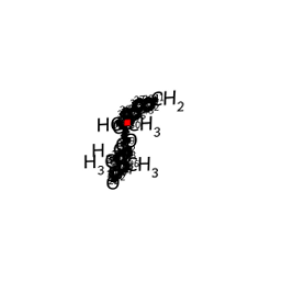 C#C[C@]1(OC(=O)CCC(=O)O[C@H]2CCC3C4C(C5CCC(=O)C=C5C[C@H]4C)[C@@H](C)C[C@@]32C)CCC2C3CCC4=CC(=C)CCC4C3CC[C@@]21CC